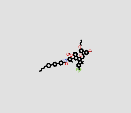 CCCCCC1CCC(c2ccc(-c3ccc(C(=O)Nc4ccc(-c5cc6c7c(c8c(c6c6cccc(OC=O)c56)OC(c5ccc(OC)cc5)(c5ccc(OCCCC)cc5)C=C8)C(C)(C)c5cc(C(F)(F)F)ccc5-7)c(C)c4)cc3)cc2)CC1